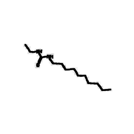 CCCCCCCCCCNC(=O)NCC